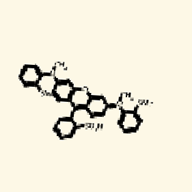 CSc1ccccc1N(C)c1ccc2c(-c3ccccc3S(=O)(=O)O)c3cc/c(=[N+](/C)c4ccccc4SC)cc-3oc2c1